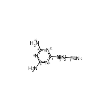 N#CS.Nc1nc(N)nc(N)n1